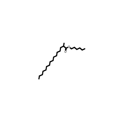 CCCCCCCCCCCCCCC(C)C(=O)OCCCCCC